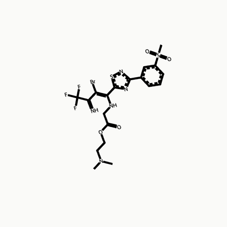 CN(C)CCOC(=O)CN/C(=C(/Br)C(=N)C(F)(F)F)c1nc(-c2cccc(S(C)(=O)=O)c2)ns1